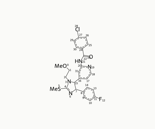 COCCN1C(SC)=NC(c2ccc(F)cc2)C1c1ccnc(NC(=O)c2ccc(Cl)cc2)c1